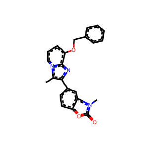 Cc1c(-c2ccc3oc(=O)n(C)c3c2)nc2c(OCc3ccccc3)cccn12